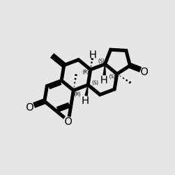 C=C1C[C@@H]2[C@H](CC[C@]3(C)C(=O)CC[C@@H]23)[C@]2(C)C1=CC(=O)C1=C2O1